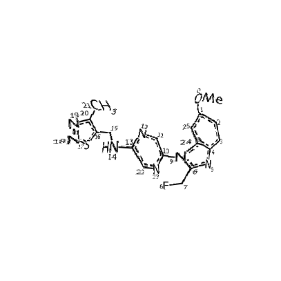 COc1ccc2nc(CF)n(-c3cnc(NCc4snnc4C)cn3)c2c1